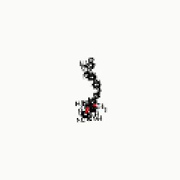 COc1cc(OC2([C@@]3(C(N)=O)C=CC(N4CC(CN5CCN(c6ccn7c(N8CCC(=O)NC8=O)cnc7c6)CC5)C4)=NN3)C(C)(C)CC2(C)C)ccc1C#N